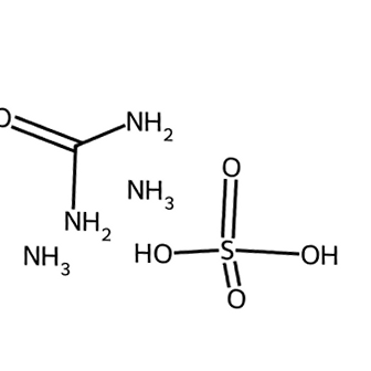 N.N.NC(N)=O.O=S(=O)(O)O